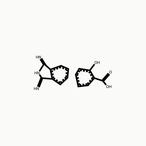 N=C1NC(=N)c2ccccc21.O=C(O)c1ccccc1O